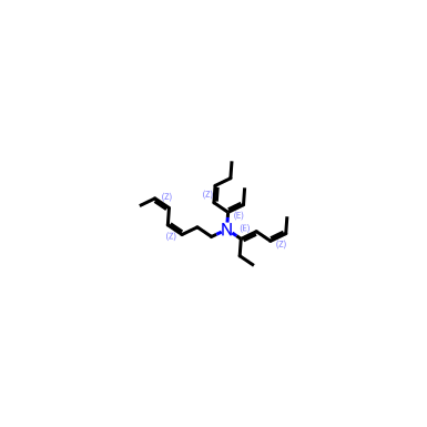 C/C=C\C=C/CCN(C(/C=C\CC)=C/C)/C(=C/C=C\C)CC